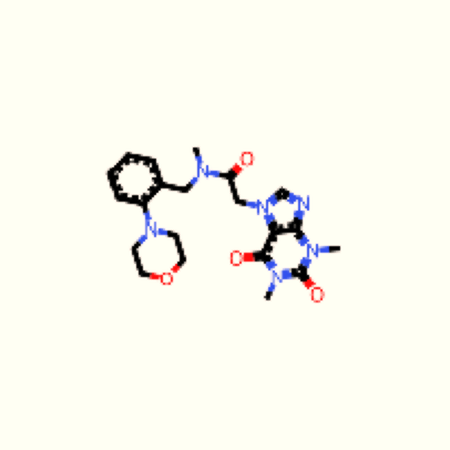 CN(Cc1ccccc1N1CCOCC1)C(=O)Cn1cnc2c1c(=O)n(C)c(=O)n2C